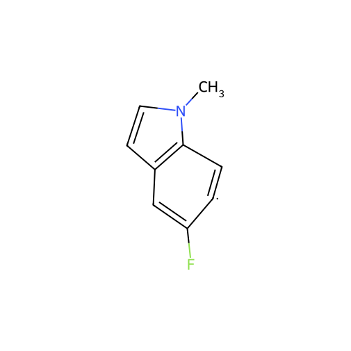 Cn1ccc2cc(F)[c]cc21